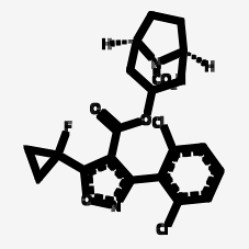 O=C(OC1C[C@H]2CC[C@@H](C1)N2C(=O)O)c1c(-c2c(Cl)cccc2Cl)noc1C1(F)CC1